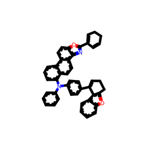 C1=CC(c2nc3c(ccc4c5cccc(N(c6ccccc6)c6ccc(C7=CCCc8oc9ccccc9c87)cc6)c5ccc43)o2)=CCC1